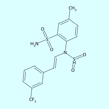 Cc1ccc(N(C=Cc2cccc(C(F)(F)F)c2)[SH](=O)=O)c(S(N)(=O)=O)c1